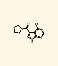 CCc1ncnc2[nH]nc(C(=O)N3CCCC3)c12